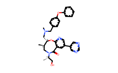 C[C@@H]1CN([C@@H](C)CO)C(=O)c2cc(-c3cncnc3)cnc2O[C@H]1CN(C)Cc1ccc(Oc2ccccc2)cc1